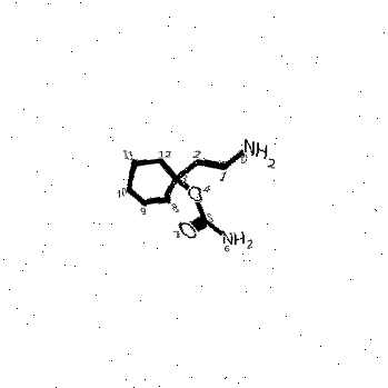 NCCC1(OC(N)=O)CCCCC1